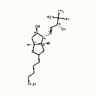 CCCCC(C)(C)[C@H](O)/C=C/[C@@H]1[C@H]2CC(CCCCC(=O)OCC)O[C@H]2C[C@H]1O